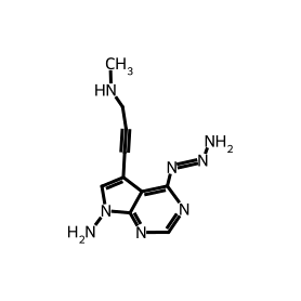 CNCC#Cc1cn(N)c2ncnc(N=NN)c12